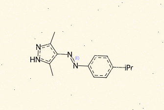 Cc1n[nH]c(C)c1/N=N/c1ccc(C(C)C)cc1